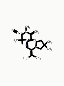 C=C(/C=C\C(=C(C)C)N1CCC(C)(C)C1)C(=C)N(C)[C@@H](C#N)C(C)(C)F